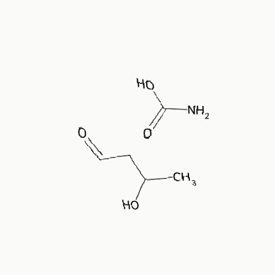 CC(O)CC=O.NC(=O)O